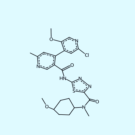 COc1cnc(Cl)cc1-c1cc(C)ncc1C(=O)Nc1nnc(C(=O)N(C)C2CCC(OC)CC2)s1